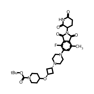 Cc1cc(N2CCN([C@H]3C[C@H](OC4CCN(C(=O)OC(C)(C)C)CC4)C3)CC2)c(F)c2c1C(=O)N(C1CCC(=O)NC1=O)C2=O